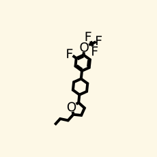 CCCC1CCC(C2CCC(c3ccc(OC(F)(F)F)c(F)c3)CC2)O1